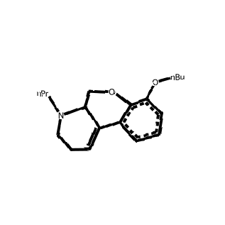 CCCCOc1cccc2c1OCC1C2=CCCN1CCC